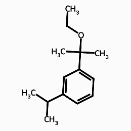 CCOC(C)(C)c1cccc(C(C)C)c1